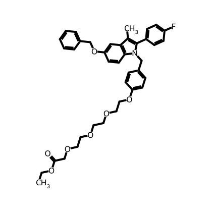 CCOC(=O)COCCOCCOCCOc1ccc(Cn2c(-c3ccc(F)cc3)c(C)c3cc(OCc4ccccc4)ccc32)cc1